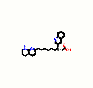 O=C(O)C[C@H](CCCCCCc1ccc2c(n1)NCCC2)c1cnc2ccccc2c1